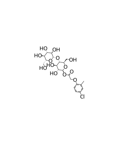 Cc1cc(Cl)ccc1OCC(=O)O[C@@H]1O[C@H](CO)[C@@H](O[C@@H]2O[C@H](CO)[C@@H](O)[C@H](O)[C@H]2O)[C@H](O)[C@H]1O